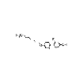 CCCCCCCCOc1ccc(-c2ccc(O)cc2F)nc1